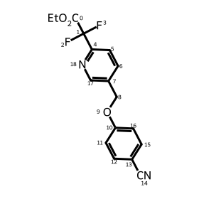 CCOC(=O)C(F)(F)c1ccc(COc2ccc(C#N)cc2)cn1